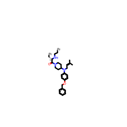 CC(C)=CCN(c1ccc(OCc2ccccc2)cc1)C1CCN(C(=O)[C@H](CC(C)C)NCCC(C)C)CC1